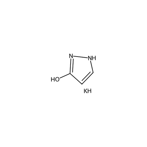 Oc1cc[nH]n1.[KH]